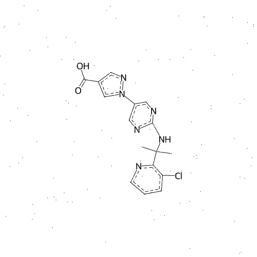 CC(C)(Nc1ncc(-n2cc(C(=O)O)cn2)cn1)c1ncccc1Cl